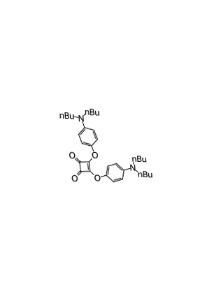 CCCCN(CCCC)c1ccc(Oc2c(Oc3ccc(N(CCCC)CCCC)cc3)c(=O)c2=O)cc1